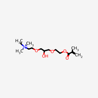 C=C(C)C(=O)OCCOCC(O)COCC[N+](C)(C)CC